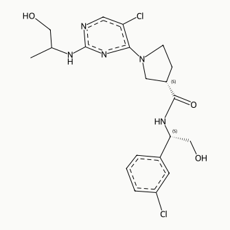 CC(CO)Nc1ncc(Cl)c(N2CC[C@H](C(=O)N[C@H](CO)c3cccc(Cl)c3)C2)n1